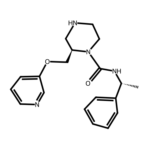 C[C@@H](NC(=O)N1CCNC[C@@H]1COc1cccnc1)c1ccccc1